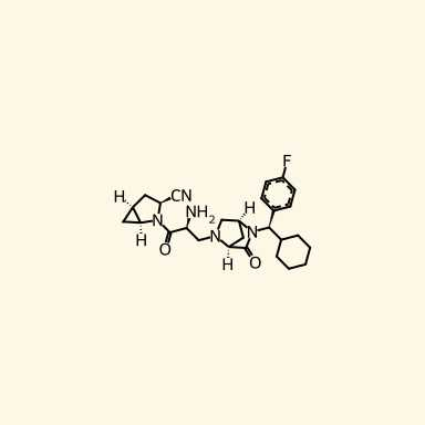 N#C[C@@H]1C[C@@H]2C[C@@H]2N1C(=O)[C@@H](N)CN1C[C@@H]2C[C@H]1C(=O)N2[C@@H](c1ccc(F)cc1)C1CCCCC1